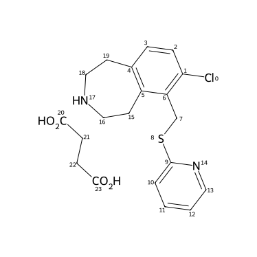 Clc1ccc2c(c1CSc1ccccn1)CCNCC2.O=C(O)CCC(=O)O